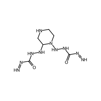 N=NC(=O)NNC1CNCCN1NNC(=O)N=N